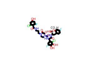 O=C(NCCCN1CCN(C(=O)NC(C(=O)N[C@H]2Cc3ccc(F)c(C(=O)O)c3OB2O)c2cc(F)c(O)c(O)c2Cl)C(=O)C1=O)c1c(F)cc(O)cc1Cl